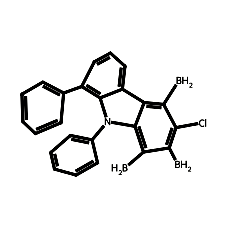 Bc1c(Cl)c(B)c2c3cccc(-c4ccccc4)c3n(-c3ccccc3)c2c1B